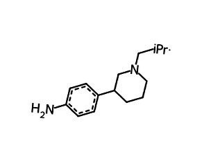 C[C](C)CN1CCCC(c2ccc(N)cc2)C1